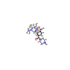 CCC1(CC)C(=O)N(C(C)(C)C)CC(C)(C)N1OC(C)c1ccc(C(=O)N2CCN(C)CC2)cc1